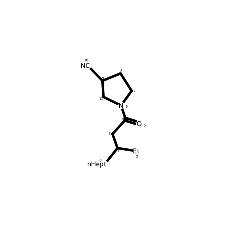 CCCCCCCC(CC)CC(=O)N1CCC(C#N)C1